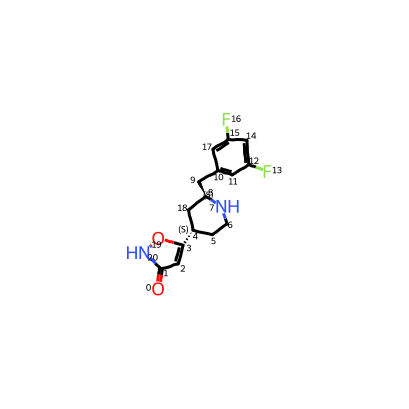 O=c1cc([C@H]2CCN[C@H](Cc3cc(F)cc(F)c3)C2)o[nH]1